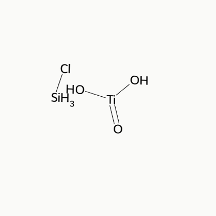 [O]=[Ti]([OH])[OH].[SiH3]Cl